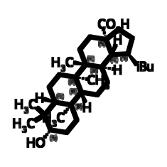 CCC(C)[C@@H]1CC[C@]2(C(=O)O)CC[C@]3(C)[C@H](CC[C@@H]4[C@@]5(C)CC[C@H](O)C(C)(C)[C@@H]5CC[C@]43C)[C@@H]12